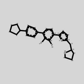 Fc1c(-c2ccc(C3CCCC3)cc2)ccc(-c2ccc(CC3CCCO3)s2)c1F